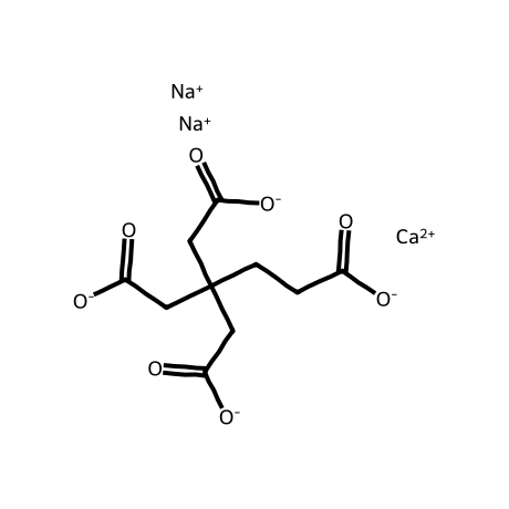 O=C([O-])CCC(CC(=O)[O-])(CC(=O)[O-])CC(=O)[O-].[Ca+2].[Na+].[Na+]